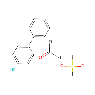 CCC(=O)CC.CS(C)(=O)=O.F.c1ccc(-c2ccccc2)cc1